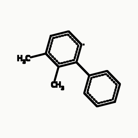 Cc1cc[c]c(-c2ccccc2)c1C